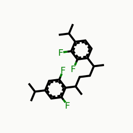 CC(C)c1cc(F)c(C(C)CCC(C)c2ccc(C(C)C)c(F)c2F)c(F)c1